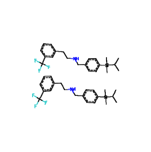 CC(C)[Si](C)(C)c1ccc(CNCCc2cccc(C(F)(F)F)c2)cc1.CC(C)[Si](C)(C)c1ccc(CNCCc2cccc(C(F)(F)F)c2)cc1